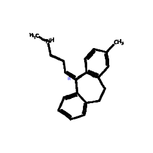 CNCC/C=C1/c2ccccc2CCc2cc(C)ccc21